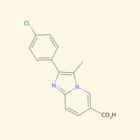 Cc1c(-c2ccc(Cl)cc2)nc2ccc(C(=O)O)cn12